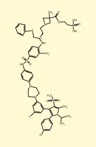 Cc1cc(S(=O)(=O)Nc2ccc(N3CCN(c4cc(F)cc(-c5c(S(C)(=O)=O)c(C)n(C(C)C)c5-c5ccc(Cl)cc5)c4)CC3)cc2)ccc1N[C@H](CCN1CC(C)(C(=O)OCCP(=O)(O)O)C1)CSc1ccccc1